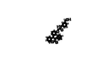 O=C(COc1cccc([C@H](c2ccccc2)N(C(=O)O)C2CN3CCC2CC3)c1)Nc1cccc(CO)c1